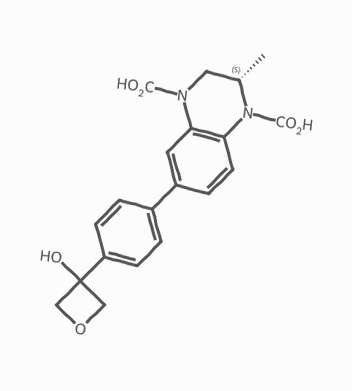 C[C@H]1CN(C(=O)O)c2cc(-c3ccc(C4(O)COC4)cc3)ccc2N1C(=O)O